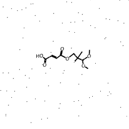 COC(OC)C(C)(C)COC(=O)C=CC(=O)O